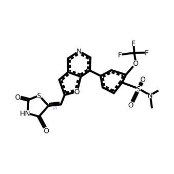 CN(C)S(=O)(=O)c1ccc(-c2cncc3cc(/C=C4\SC(=O)NC4=O)oc23)cc1OC(F)(F)F